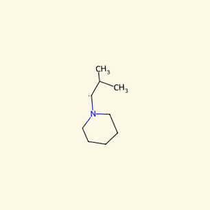 CC(C)[CH]N1CCCCC1